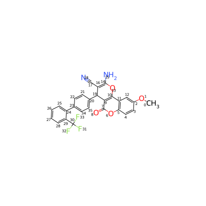 COc1ccc2oc(=O)c3c(c2c1)OC(N)=C(C#N)C3c1ccc(-c2ccccc2C(F)(F)F)cc1